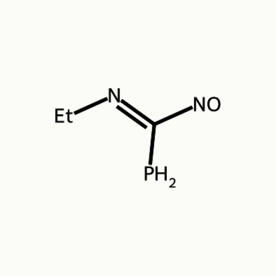 CCN=C(P)N=O